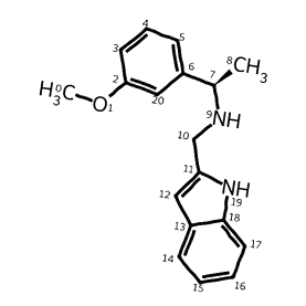 COc1cccc([C@@H](C)NCc2cc3ccccc3[nH]2)c1